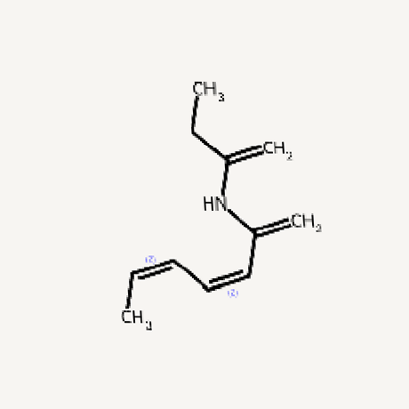 C=C(/C=C\C=C/C)NC(=C)CC